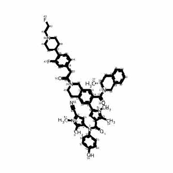 Cc1c(N(C(=O)c2cc(-c3cc4c(cc3C(=O)N3Cc5ccccc5C[C@H]3C)CN(C(=O)Cc3ccc(C5CCN(CCF)CC5)c(F)c3)CC4)n(C)c2C)c2ccc(O)cc2)cc(C#N)n1C